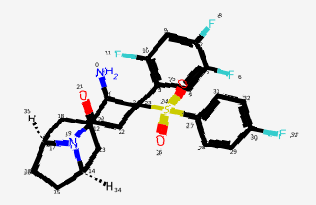 NC(Cc1cc(F)c(F)cc1F)C1C[C@H]2CC[C@@H](C1)N2C(=O)CCS(=O)(=O)c1ccc(F)cc1